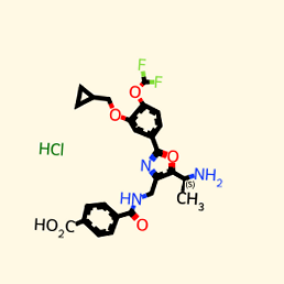 C[C@H](N)c1oc(-c2ccc(OC(F)F)c(OCC3CC3)c2)nc1CNC(=O)c1ccc(C(=O)O)cc1.Cl